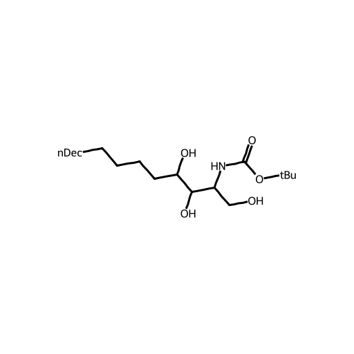 CCCCCCCCCCCCCCC(O)C(O)C(CO)NC(=O)OC(C)(C)C